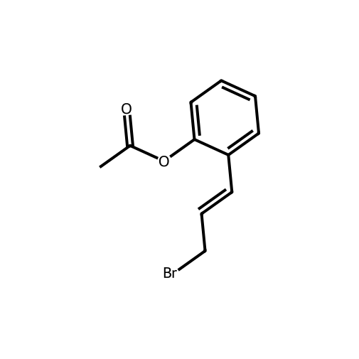 CC(=O)Oc1ccccc1C=CCBr